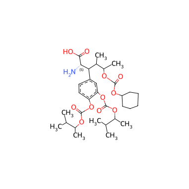 CC(C)C(C)OC(=O)Oc1ccc(C(C(C)C(C)OC(=O)OC2CCCCC2)[C@H](N)C(=O)O)cc1OC(=O)OC(C)C(C)C